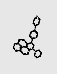 c1ccc(-c2cc(-c3ccc(-c4ccncc4)cc3)c3ccc4cccc5ccc2c3c54)cc1